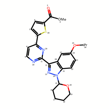 COC(=O)c1ccc(-c2ccnc(-c3nn(C4CCCCO4)c4ccc(OC(C)C)cc34)n2)s1